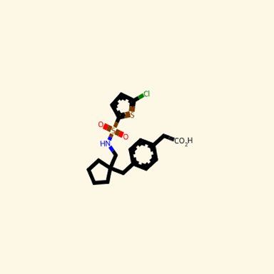 O=C(O)Cc1ccc(CC2(CNS(=O)(=O)c3ccc(Cl)s3)CCCC2)cc1